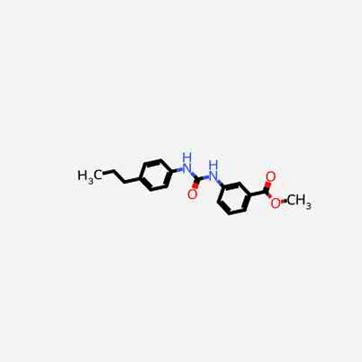 CCCc1ccc(NC(=O)Nc2cccc(C(=O)OC)c2)cc1